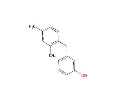 Cc1ccc(Cc2cccc(O)c2)c(C)c1